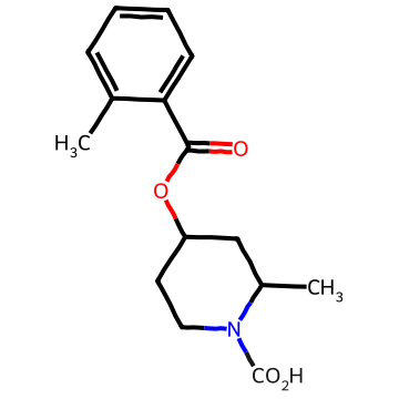 Cc1ccccc1C(=O)OC1CCN(C(=O)O)C(C)C1